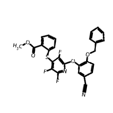 COC(=O)c1ccccc1Sc1c(F)c(F)nc(Oc2cc(C#N)ccc2OCc2ccccc2)c1F